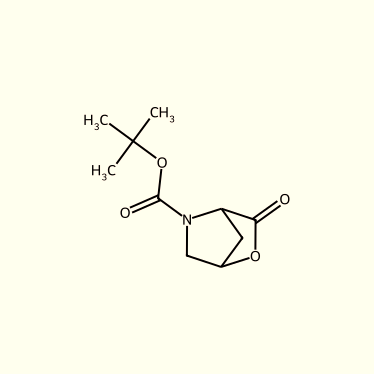 CC(C)(C)OC(=O)N1CC2CC1C(=O)O2